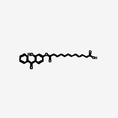 O=C(O)CCCCCCCCCCC(=O)Oc1ccc(C(=O)c2ccccc2)c(O)c1